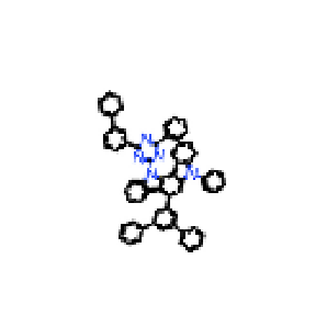 c1ccc(-c2cccc(-c3nc(-c4ccccc4)nc(-n4c5ccccc5c5c(-c6cc(-c7ccccc7)cc(-c7ccccc7)c6)cc6c(c7ccccc7n6-c6ccccc6)c54)n3)c2)cc1